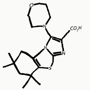 CC1(C)Cc2c(sc3nc(C(=O)O)c(N4CCOCC4)n23)C(C)(C)C1